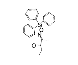 CCC(=O)/C(C)=N/O[Si](c1ccccc1)(c1ccccc1)c1ccccc1